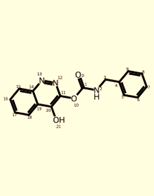 O=C(NCc1ccccc1)Oc1nnc2ccccc2c1O